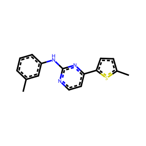 Cc1cccc(Nc2nccc(-c3ccc(C)s3)n2)c1